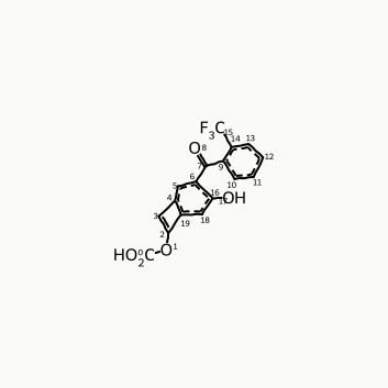 O=C(O)OC1=Cc2cc(C(=O)c3ccccc3C(F)(F)F)c(O)cc21